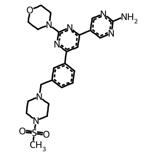 CS(=O)(=O)N1CCN(Cc2cccc(-c3cc(-c4cnc(N)nc4)nc(N4CCOCC4)n3)c2)CC1